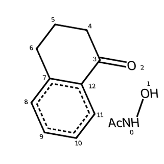 CC(=O)NO.O=C1CCCc2ccccc21